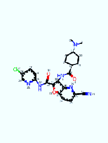 CN(C)[C@H]1CC[C@H](C(=O)Nc2c(C(=O)Nc3ccc(Cl)cn3)oc3ccc(C#N)nc23)CC1